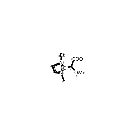 CCn1ccn(C)[c+]1C(OC)C(=O)[O-]